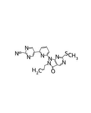 C=CCn1c(=O)c2cnc(SC)nc2n1-c1cccc(-c2cnc(C#N)nc2)n1